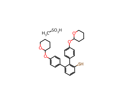 CS(=O)(=O)O.Sc1cccc(-c2ccc(OC3CCCCO3)cc2)c1-c1ccc(OC2CCCCO2)cc1